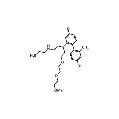 BCCNCCC(CCOCCOCCOC)c1cc(Br)ccc1-c1ccc(Br)cc1C